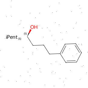 CCC[C@H](C)[C@@H](O)CCCc1ccccc1